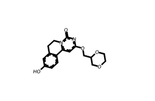 O=c1nc(OCC2COCCO2)cc2n1CCc1cc(O)ccc1-2